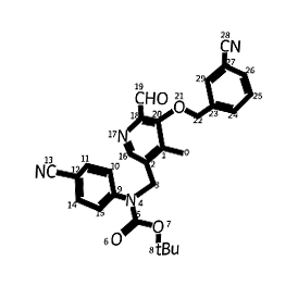 Cc1c(CN(C(=O)OC(C)(C)C)c2ccc(C#N)cc2)cnc(C=O)c1OCc1cccc(C#N)c1